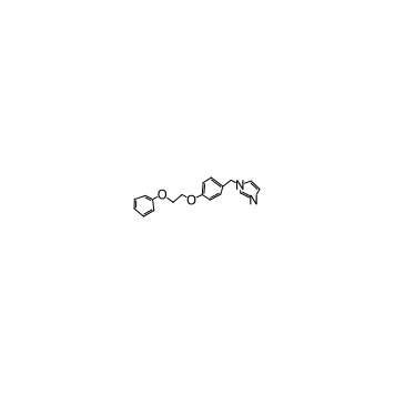 c1ccc(OCCOc2ccc(Cn3ccnc3)cc2)cc1